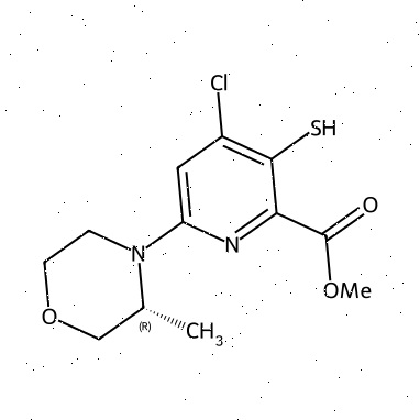 COC(=O)c1nc(N2CCOC[C@H]2C)cc(Cl)c1S